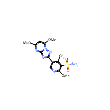 COc1cc(OC)n2nc(-c3cnc(OC)c(S(N)(=O)=O)c3C(F)(F)F)nc2n1